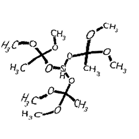 COC(C)(OC)O[SiH](OC(C)(OC)OC)OC(C)(OC)OC